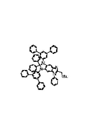 CC(C)(C)Cc1nc2cc3c(cc2n1-c1ccccc1)N(c1cc(-c2ccccc2)cc(-c2ccccc2)c1)C(c1ccccc1)(c1ccccc1)N3c1cc(-c2ccccc2)cc(-c2ccccc2)c1